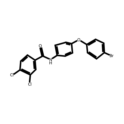 O=C(Nc1ccc(Oc2ccc(Br)cc2)cc1)c1ccc(Cl)c(Cl)c1